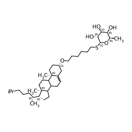 CC(C)CCC[C@@H](C)[C@H]1CCC2C3CC=C4C[C@@H](OCCCCCCS[C@@H]5O[C@H](C)[C@H](O)[C@H](O)[C@H]5O)CC[C@]4(C)C3CC[C@@]21C